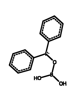 OB(O)O[I+](c1ccccc1)c1ccccc1